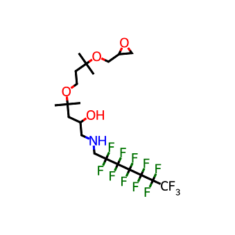 CC(C)(CCOC(C)(C)CC(O)CNCC(F)(F)C(F)(F)C(F)(F)C(F)(F)C(F)(F)C(F)(F)F)OCC1CO1